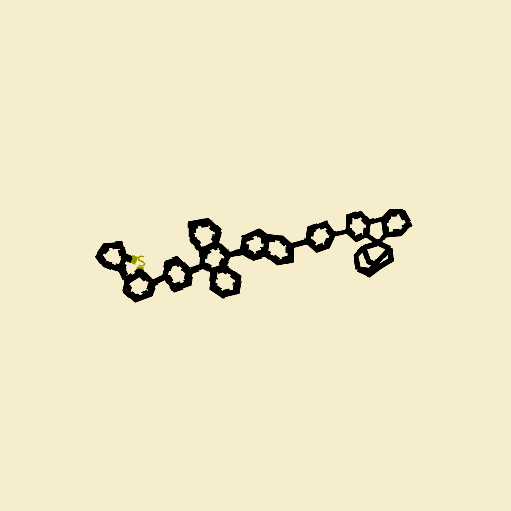 c1ccc2c(c1)-c1ccc(-c3ccc(-c4ccc5cc(-c6c7ccccc7c(-c7ccc(-c8cccc9c8sc8ccccc89)cc7)c7ccccc67)ccc5c4)cc3)cc1C21C2CC3CC(C2)CC1C3